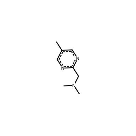 Cc1cnc(CN(C)C)nc1